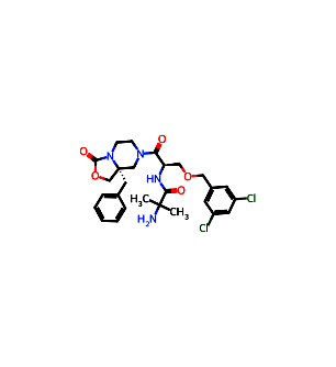 CC(C)(N)C(=O)N[C@H](COCc1cc(Cl)cc(Cl)c1)C(=O)N1CCN2C(=O)OC[C@]2(Cc2ccccc2)C1